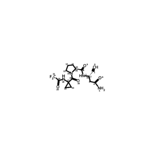 C#C[C@H](CC(N)=O)NC(=O)[C@@H]1CCCN1C(=O)C1(NC(=O)C(F)(F)F)CC1